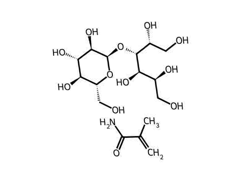 C=C(C)C(N)=O.OC[C@@H](O)[C@@H](O[C@H]1O[C@H](CO)[C@@H](O)[C@H](O)[C@H]1O)[C@H](O)[C@@H](O)CO